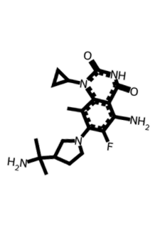 Cc1c(N2CCC(C(C)(C)N)C2)c(F)c(N)c2c(=O)[nH]c(=O)n(C3CC3)c12